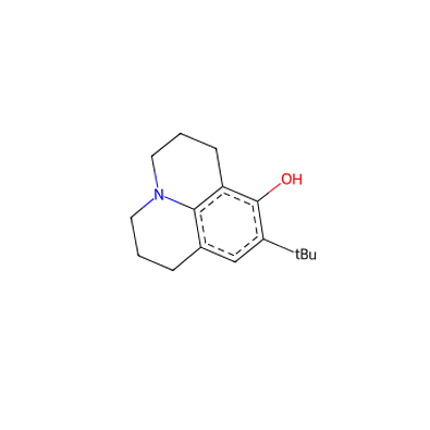 CC(C)(C)c1cc2c3c(c1O)CCCN3CCC2